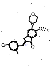 COc1cc2c(cc1N1CCOCC1)C/C(=C\c1ccc(Cl)cc1C)C2=O